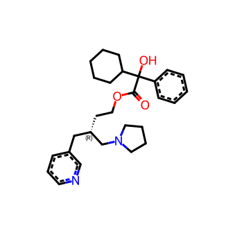 O=C(OCC[C@@H](Cc1cccnc1)CN1CCCC1)C(O)(c1ccccc1)C1CCCCC1